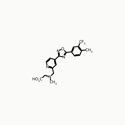 Cc1ccc(-c2nc(-c3ccnc(CN(C)CC(=O)O)c3)no2)cc1C(F)(F)F